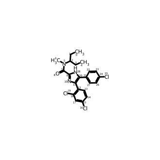 CCC(CC)N(C)C(=O)c1nc(-c2ccc(Cl)cc2Cl)c(-c2ccc(Cl)cc2)[nH]1